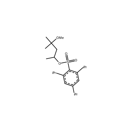 COC(C)(C)CC(C)OS(=O)(=O)c1c(C(C)C)cc(C(C)C)cc1C(C)C